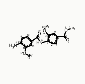 CC(C)OC(=O)c1ccc(NC(=O)c2ccc(N)c(OC(C)C)c2)c(OC(C)C)c1